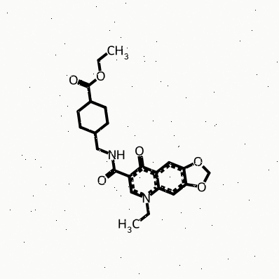 CCOC(=O)C1CCC(CNC(=O)c2cn(CC)c3cc4c(cc3c2=O)OCO4)CC1